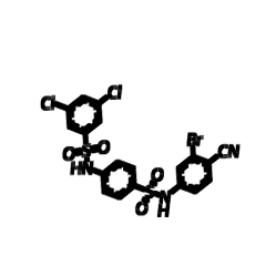 N#Cc1ccc(NS(=O)(=O)c2ccc(NS(=O)(=O)c3cc(Cl)cc(Cl)c3)cc2)cc1Br